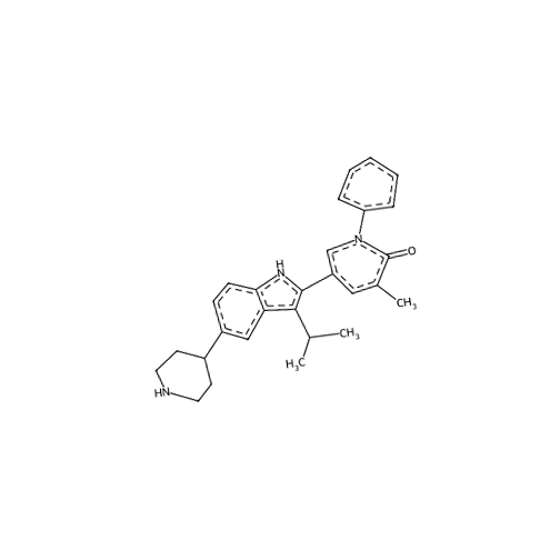 Cc1cc(-c2[nH]c3ccc(C4CCNCC4)cc3c2C(C)C)cn(-c2ccccc2)c1=O